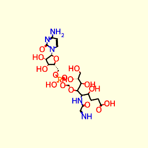 N=CC(=O)NC(C(O)CCC(=O)O)C(OCOP(=O)(O)OC[C@H]1O[C@@H](n2ccc(N)nc2=O)[C@@H](O)[C@H]1O)[C@H](O)[C@H](O)CO